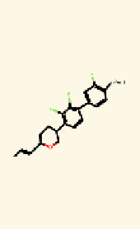 C/C=C/C1CCC(c2ccc(-c3ccc(CCCCC)c(F)c3)c(F)c2F)CO1